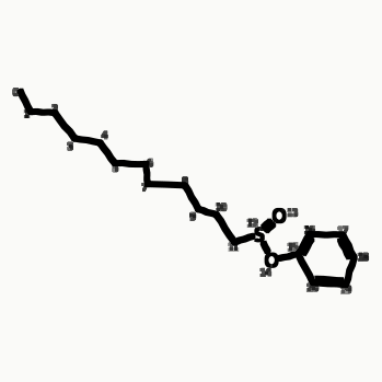 CCCCCCCCCCCCS(=O)Oc1ccccc1